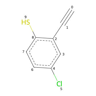 C#Cc1cc(Cl)ccc1S